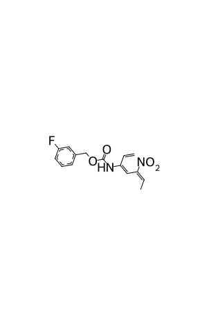 C=C/C(=C\C(=C/C)[N+](=O)[O-])NC(=O)OCc1cccc(F)c1